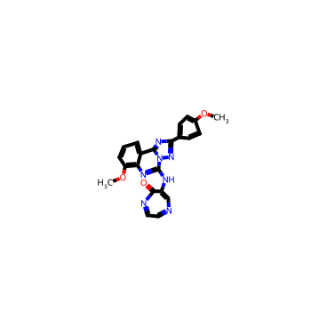 COc1ccc(-c2nc3c4cccc(OC)c4nc(Nc4cnccnc4=O)n3n2)cc1